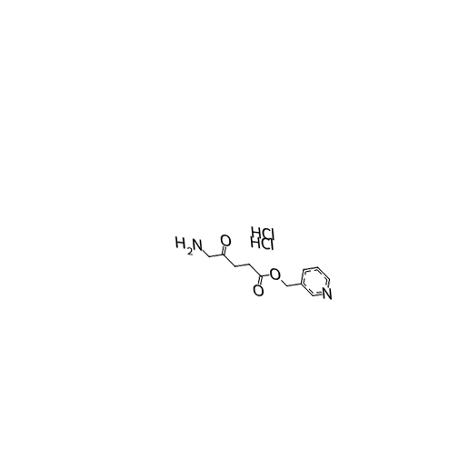 Cl.Cl.NCC(=O)CCC(=O)OCc1cccnc1